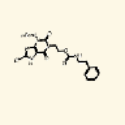 CCCCCn1c(=O)n(CCOC(=O)NCCc2ccccc2)c(=O)c2[nH]c(Cl)nc21